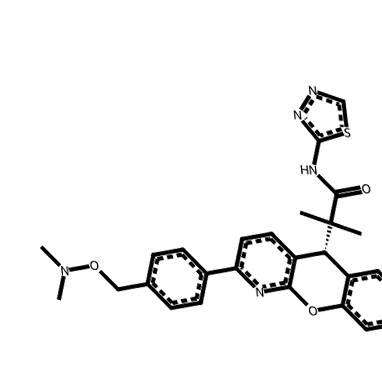 CN(C)OCc1ccc(-c2ccc3c(n2)Oc2ccccc2[C@H]3C(C)(C)C(=O)Nc2nncs2)cc1